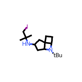 CC(C)(CI)NC1CC2N(C(C)(C)C)C3CCC32C1